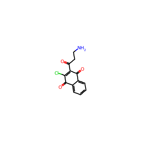 NCCC(=O)C1=C(Cl)C(=O)c2ccccc2C1=O